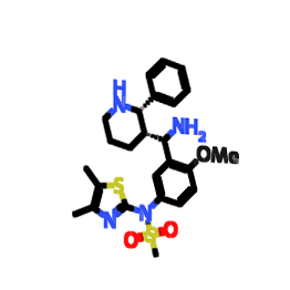 COc1ccc(N(c2nc(C)c(C)s2)S(C)(=O)=O)cc1C(N)[C@@H]1CCCN[C@@H]1c1ccccc1